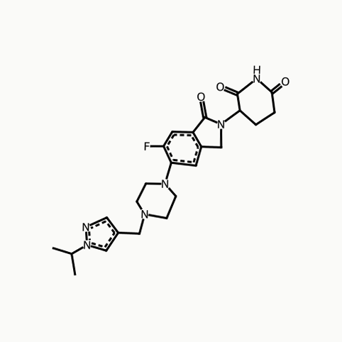 CC(C)n1cc(CN2CCN(c3cc4c(cc3F)C(=O)N(C3CCC(=O)NC3=O)C4)CC2)cn1